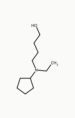 CCN(CCCCO)C1CCCC1